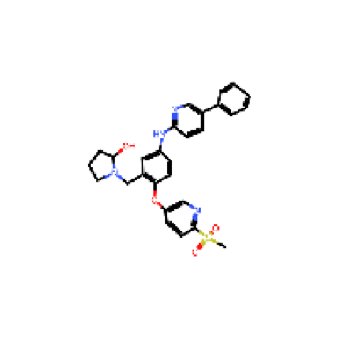 CS(=O)(=O)c1ccc(Oc2ccc(Nc3ccc(-c4ccccc4)cn3)cc2CN2CCCC2O)cn1